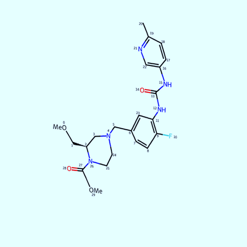 COC[C@H]1CN(Cc2ccc(F)c(NC(=O)Nc3ccc(C)nc3)c2)CCN1C(=O)OC